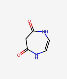 O=C1CC(=O)NC=CN1